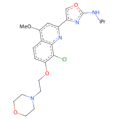 COc1cc(-c2coc(NC(C)C)n2)nc2c(Cl)c(OCCN3CCOCC3)ccc12